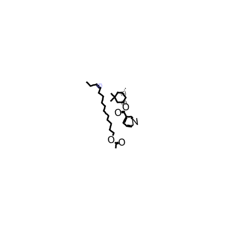 CC/C=C\CCCCCCCCCCOC(C)=O.C[C@@H]1C[C@@H](OC(=O)c2cccnc2)CC(C)(C)C1